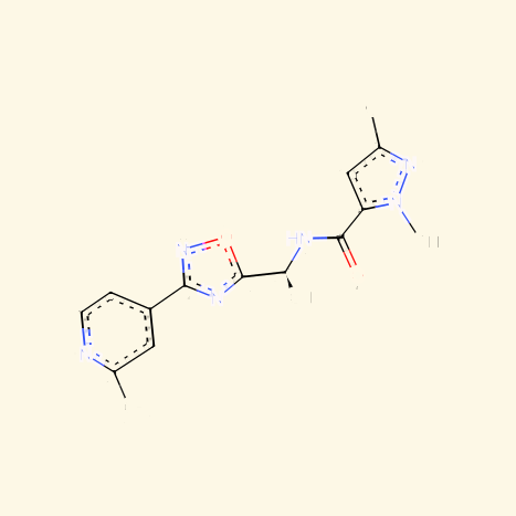 C[C@H](NC(=O)c1cc(C(F)(F)F)nn1C)c1nc(-c2ccnc(C(F)(F)F)c2)no1